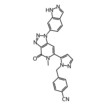 Cn1c(-c2ccnn2Cc2ccc(C#N)cc2)cc2c(nnn2-c2ccc3cn[nH]c3c2)c1=O